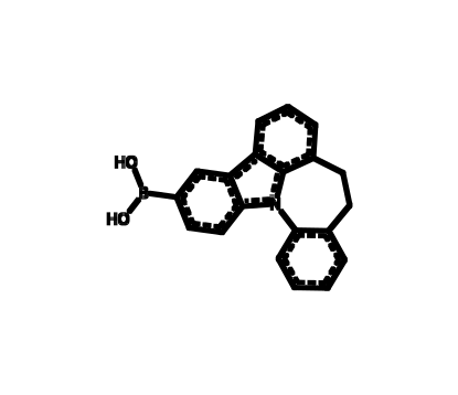 OB(O)c1ccc2c(c1)c1cccc3c1n2-c1ccccc1CC3